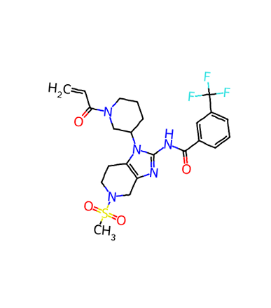 C=CC(=O)N1CCCC(n2c(NC(=O)c3cccc(C(F)(F)F)c3)nc3c2CCN(S(C)(=O)=O)C3)C1